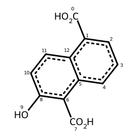 O=C(O)c1cccc2c(C(=O)O)c(O)ccc12